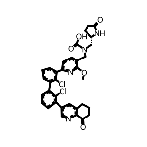 COc1nc(-c2cccc(-c3cccc(-c4cnc5c(c4)CCCC5=O)c3Cl)c2Cl)ccc1CN(C[C@@H]1CCC(=O)N1)C(=O)O